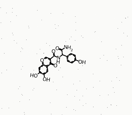 NC(=O)C(NC(=O)c1coc2cc(O)c(O)cc2c1=O)c1ccc(O)cc1